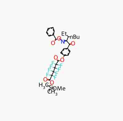 CCCCC(CC)/C(=N\OC(=O)c1ccccc1)C(=O)c1ccc(OC(=O)C(F)(F)C(F)(F)C(F)(F)C(F)(F)C(=O)O[Si](C)(C)OC)cc1